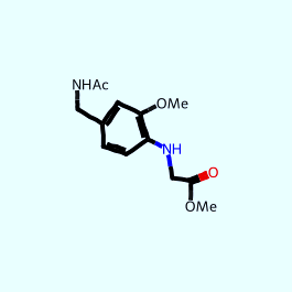 COC(=O)CNc1ccc(CNC(C)=O)cc1OC